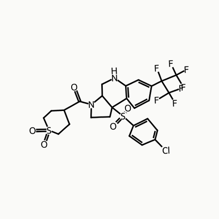 O=C(C1CCS(=O)(=O)CC1)N1CCC2(S(=O)(=O)c3ccc(Cl)cc3)c3ccc(C(F)(C(F)(F)F)C(F)(F)F)cc3NCC12